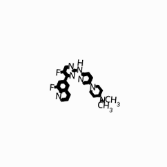 CN(C)C1CCN(c2ccc(Nc3ncc(F)c(-c4cc(F)c5ncccc5c4)n3)nc2)CC1